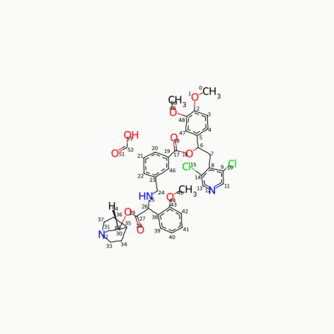 COc1ccc(C(Cc2c(Cl)cncc2Cl)OC(=O)c2cccc(CNC(C(=O)O[C@H]3CN4CCC3CC4)c3ccccc3OC)c2)cc1OC.O=CO